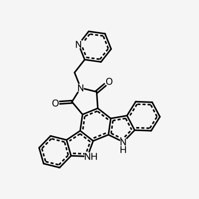 O=C1c2c(c3c4ccccc4[nH]c3c3[nH]c4ccccc4c23)C(=O)N1Cc1ccccn1